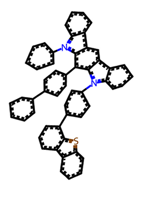 c1ccc(-c2ccc(-c3c4c(cc5c6ccccc6n(-c6ccc(-c7cccc8c7sc7ccccc78)cc6)c35)c3ccccc3n4-c3ccccc3)cc2)cc1